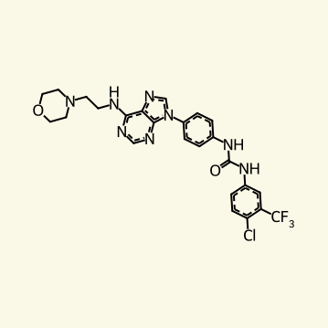 O=C(Nc1ccc(-n2cnc3c(NCCN4CCOCC4)ncnc32)cc1)Nc1ccc(Cl)c(C(F)(F)F)c1